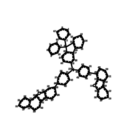 c1ccc(C2(c3ccccc3)c3ccccc3-c3cc(N(c4ccc(-c5ccc6c(c5)oc5c7ccccc7ccc65)cc4)c4ccc(-c5cccc6c5oc5ccccc56)cc4)ccc32)cc1